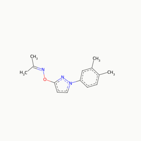 CC(C)=NOc1ccn(-c2ccc(C)c(C)c2)n1